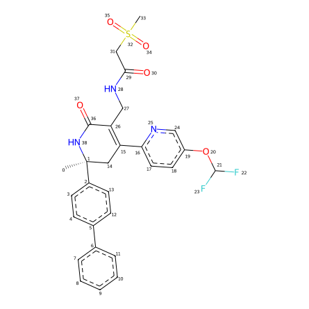 C[C@@]1(c2ccc(-c3ccccc3)cc2)CC(c2ccc(OC(F)F)cn2)=C(CNC(=O)CS(C)(=O)=O)C(=O)N1